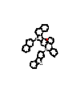 c1ccc(-c2ccccc2N(c2ccc3c(c2)oc2ccccc23)c2ccc3c4c5ccccc5ccc4n(-c4ccc5ccccc5c4)c3c2)cc1